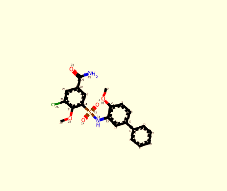 COc1ccc(-c2ccccc2)cc1NS(=O)(=O)c1cc(C(N)=O)cc(Cl)c1OC